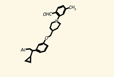 CC(=O)CC(c1cccc(OCC2CCN(c3cc(C)ccc3C=O)CC2)c1)C1CC1